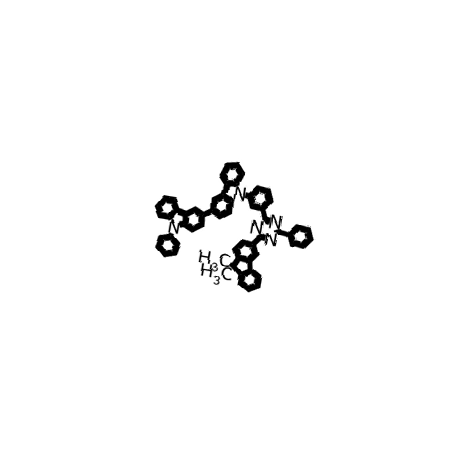 CC1(C)c2ccccc2-c2cc(-c3nc(-c4ccccc4)nc(-c4cccc(-n5c6ccccc6c6cc(-c7ccc8c(c7)c7ccccc7n8-c7ccccc7)ccc65)c4)n3)ccc21